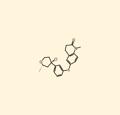 C[C@H]1C[C@@](Cl)(c2cccc(Sc3ccc4c(c3)CCC(=O)N4C)c2)CCO1